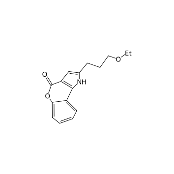 CCOCCCc1cc2c(=O)oc3ccccc3c2[nH]1